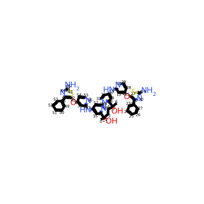 CC(O)(CCC(C)(O)c1cc(Nc2cc(Oc3sc(N)nc3-c3ccccc3)ccn2)ccn1)c1cc(Nc2cc(Oc3sc(N)nc3-c3ccccc3)ccn2)ccn1